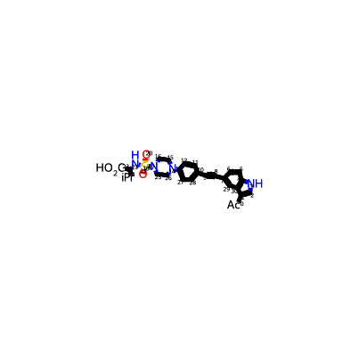 CC(=O)c1c[nH]c2ccc(C#Cc3ccc(N4CCN(S(=O)(=O)NC(C(=O)O)C(C)C)CC4)cc3)cc12